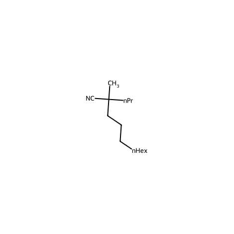 CCCCCCCCCC(C)(C#N)CCC